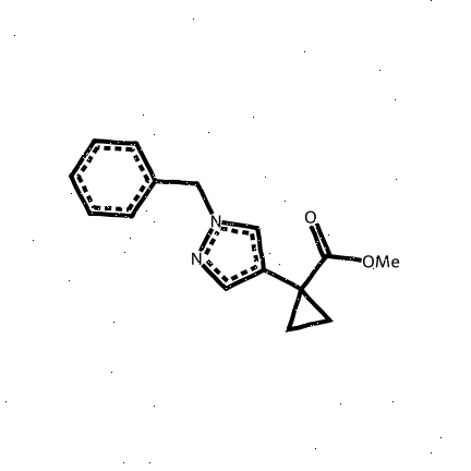 COC(=O)C1(c2cnn(Cc3ccccc3)c2)CC1